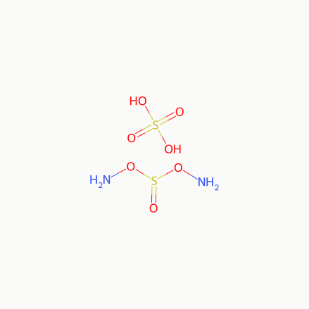 NOS(=O)ON.O=S(=O)(O)O